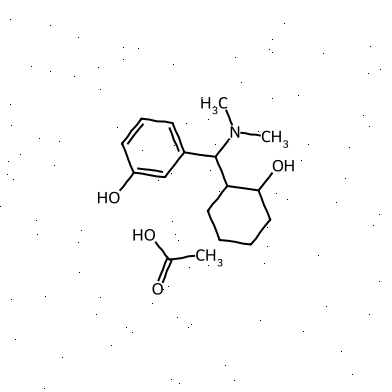 CC(=O)O.CN(C)C(c1cccc(O)c1)C1CCCCC1O